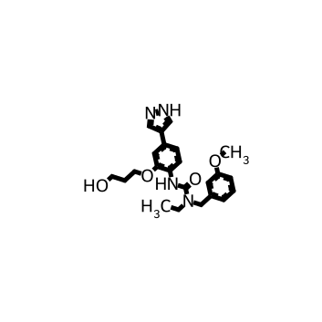 CCN(Cc1cccc(OC)c1)C(=O)Nc1ccc(-c2cn[nH]c2)cc1OCCCO